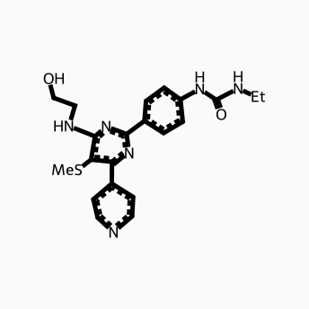 CCNC(=O)Nc1ccc(-c2nc(NCCO)c(SC)c(-c3ccncc3)n2)cc1